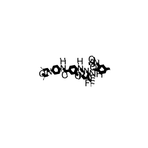 COc1cc(C(=O)N[C@H]2CC[C@H](N3C[C@@H](C)O[C@@H](C)C3)CC2)ccc1Nc1ncc(C(F)(F)F)c(NCc2ccc(C)cc2N(C)S(C)(=O)=O)n1